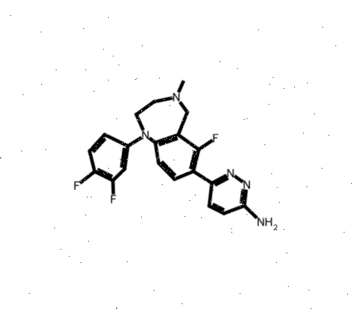 CN1CCN(c2ccc(F)c(F)c2)c2ccc(-c3ccc(N)nn3)c(F)c2C1